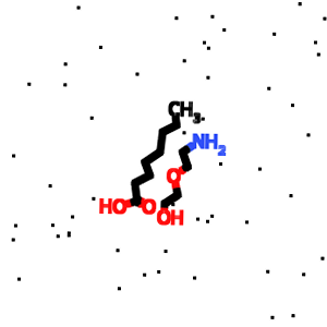 CCCCCCCC(=O)O.NCCOCCO